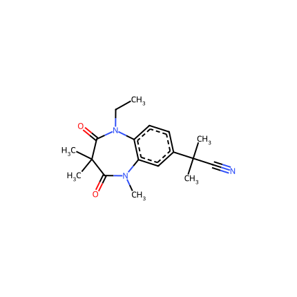 CCN1C(=O)C(C)(C)C(=O)N(C)c2cc(C(C)(C)C#N)ccc21